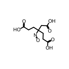 O=NC(CCC(=O)O)(CCC(=O)O)CC(=O)O